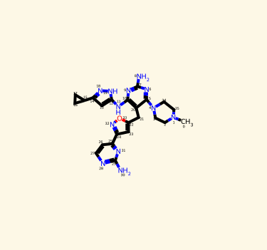 CN1CCN(c2nc(N)nc(Nc3cc(C4CC4)n[nH]3)c2Cc2cc(-c3ccnc(N)n3)no2)CC1